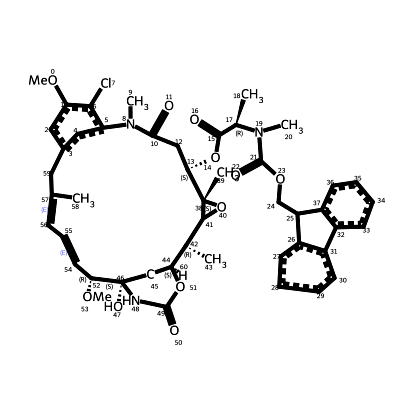 COc1cc2cc(c1Cl)N(C)C(=O)C[C@H](OC(=O)[C@@H](C)N(C)C(=O)OCC1c3ccccc3-c3ccccc31)[C@]1(C)OC1[C@H](C)[C@@H]1C[C@@](O)(NC(=O)O1)[C@H](OC)/C=C/C=C(\C)C2